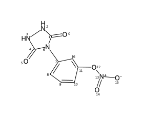 O=c1[nH][nH]c(=O)n1-c1cccc(O[N+](=O)[O-])c1